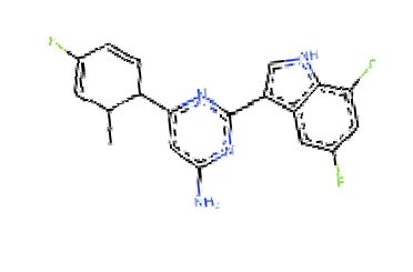 CC1C=C(F)C=CC1c1cc(N)nc(-c2c[nH]c3c(F)cc(F)cc23)n1